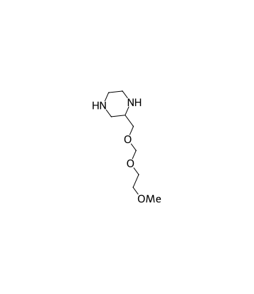 COCCOCOCC1CNCCN1